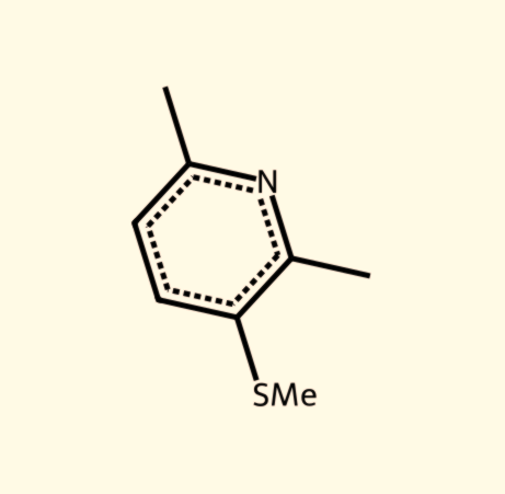 CSc1ccc(C)nc1C